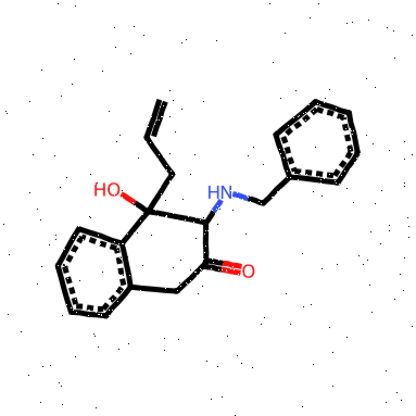 C=CCC1(O)c2ccccc2CC(=O)C1NCc1ccccc1